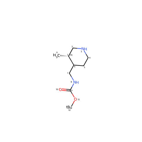 C[C@@H]1CNCCC1CNC(=O)OC(C)(C)C